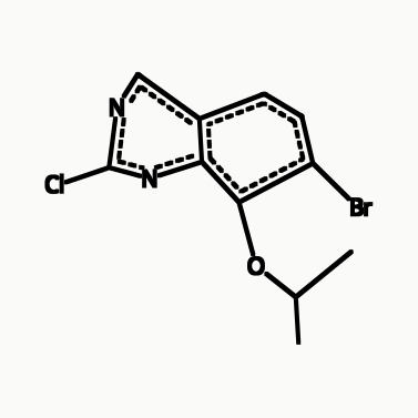 CC(C)Oc1c(Br)ccc2cnc(Cl)nc12